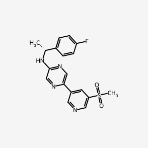 C[C@@H](Nc1cnc(-c2cncc(S(C)(=O)=O)c2)cn1)c1ccc(F)cc1